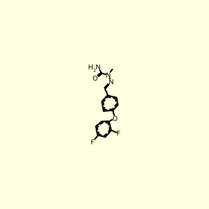 CN(N=Cc1ccc(Oc2ccc(F)cc2F)cc1)C(N)=O